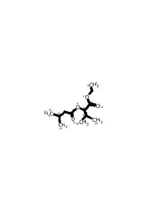 CCOC(=O)C(OC(=O)CC(C)C)C(C)C